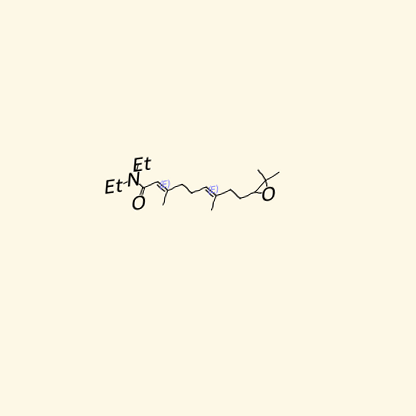 CCN(CC)C(=O)/C=C(\C)CC/C=C(\C)CCC1OC1(C)C